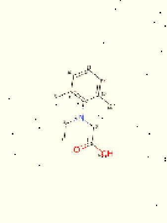 CCN(CC(=O)O)c1c(C)cccc1C